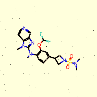 CN(c1ccc(C2CN(S(=O)(=O)N(C)C)C2)cc1OC(F)F)c1nc2cnccc2n1C